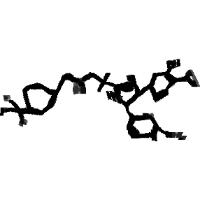 CC(C)(CNCc1ccc(C(F)(F)F)cc1)c1nc(-c2ccc(Cl)c(O)c2)c(-c2ccnc(N)n2)[nH]1